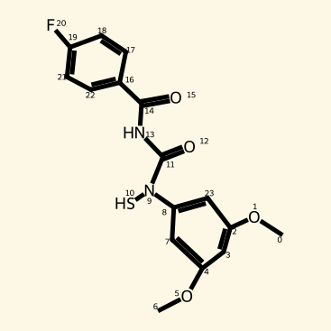 COc1cc(OC)cc(N(S)C(=O)NC(=O)c2ccc(F)cc2)c1